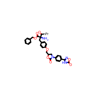 CCCC(=O)C(N)(Cc1ccc(OCC2CN(c3ccc(-c4noc(=O)[nH]4)cc3)C(=O)O2)cc1)C(=O)OCc1ccccc1